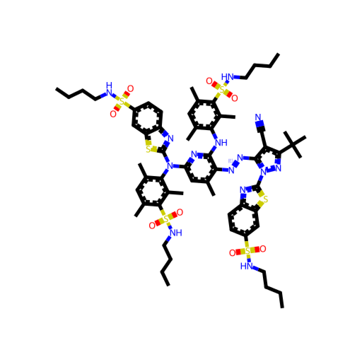 CCCCNS(=O)(=O)c1ccc2nc(N(c3cc(C)c(/N=N/c4c(C#N)c(C(C)(C)C)nn4-c4nc5ccc(S(=O)(=O)NCCCC)cc5s4)c(Nc4c(C)cc(C)c(S(=O)(=O)NCCCC)c4C)n3)c3c(C)cc(C)c(S(=O)(=O)NCCCC)c3C)sc2c1